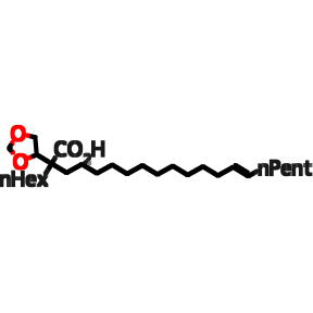 CCCCCC=CCCCCCCCCCCCC(CCCCCC)(C(=O)O)C1COCO1